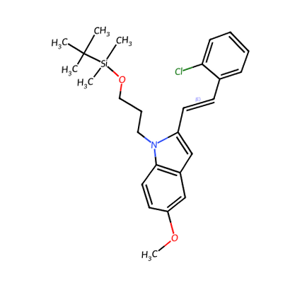 COc1ccc2c(c1)cc(/C=C/c1ccccc1Cl)n2CCCO[Si](C)(C)C(C)(C)C